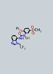 CC(C)Oc1ccc(S(C)(=O)=O)cc1N(S)C(=O)Nc1cccc2ncn(CC(F)(F)F)c12